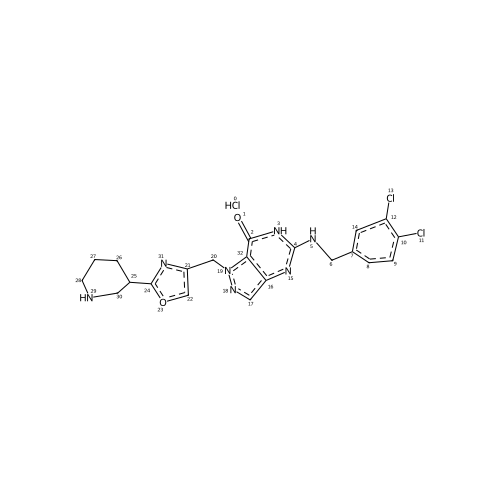 Cl.O=c1[nH]c(NCc2ccc(Cl)c(Cl)c2)nc2cnn(Cc3coc(C4CCCNC4)n3)c12